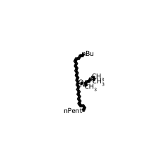 CCCC/C=C/C/C=C\CCCCCCCCC(CCCCCCCC/C=C\C/C=C\CCCCC)O/N=C(/C)CCCN(C)C